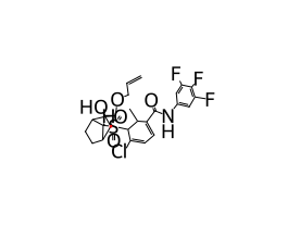 C=CCOC[C@@]1(O)CC2CCC1[C@@H]2S(=O)(=O)C1C(Cl)=CC=C(C(=O)Nc2cc(F)c(F)c(F)c2)C1C